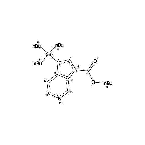 CCCCOC(=O)n1c[c]([Sn]([CH2]CCC)([CH2]CCC)[CH2]CCC)c2ccncc21